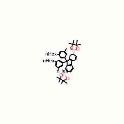 CCCCCCc1cc(C)cc(C2(c3cc(CCCCCC)cc(CCCCCC)c3)C3=C(C=CC(B4OC(C)(C)C(C)(C)O4)C3)c3ccc(B4OC(C)(C)C(C)(C)O4)cc32)c1